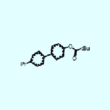 CC(C)c1ccc(-c2ccc(OC(=O)C(C)(C)C)cc2)cc1